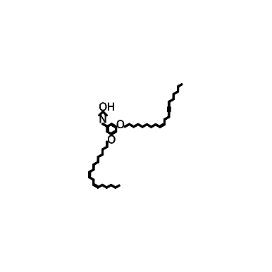 CCCCC/C=C\C/C=C\CCCCCCCCOc1cc(CN2CC(O)C2)cc(OCCCCCCCC/C=C\CCC#CCCCCCC)c1